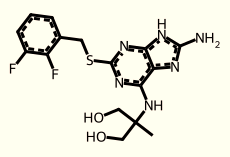 CC(CO)(CO)Nc1nc(SCc2cccc(F)c2F)nc2[nH]c(N)nc12